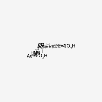 CC(=O)CC[C@H](NC(=O)CCC[C@H](NC(=O)CCCCCCCCCCCCCCC(=O)O)C(=O)O)C(=O)O